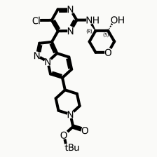 CC(C)(C)OC(=O)N1CCC(c2ccc3c(-c4nc(N[C@@H]5CCOC[C@H]5O)ncc4Cl)cnn3c2)CC1